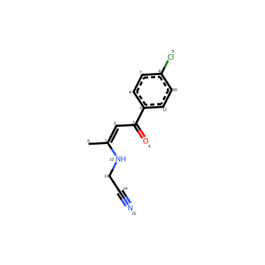 CC(=CC(=O)c1ccc(Cl)cc1)NCC#N